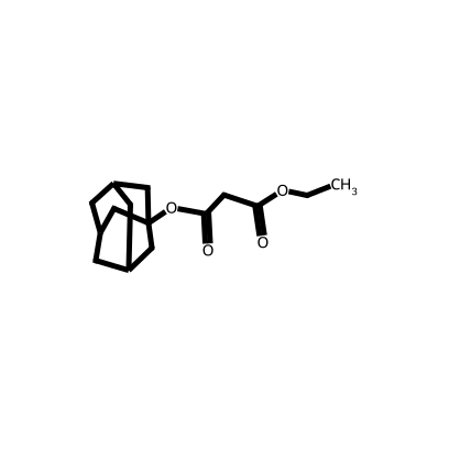 CCOC(=O)CC(=O)OC12CC3CC(CC(C3)C1)C2